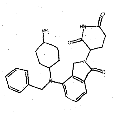 NC1CCC(N(Cc2ccccc2)c2cccc3c2CN(C2CCC(=O)NC2=O)C3=O)CC1